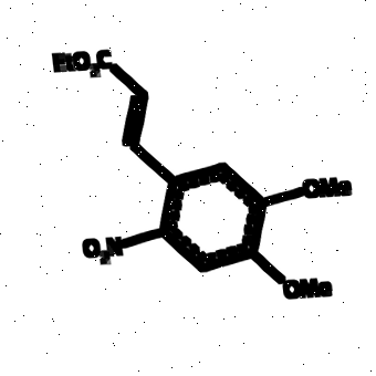 CCOC(=O)/C=C/c1cc(OC)c(OC)cc1[N+](=O)[O-]